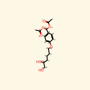 CC(=O)OC(OC(C)=O)c1ccc(OCCCCC(O)CO)cc1